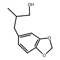 CC(CO)Cc1ccc2c(c1)OCO2